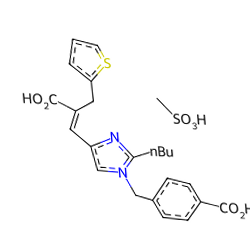 CCCCc1nc(C=C(Cc2cccs2)C(=O)O)cn1Cc1ccc(C(=O)O)cc1.CS(=O)(=O)O